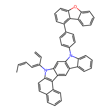 C=C/C(=C\C=C/C)n1c2cc3c(cc2c2c4ccccc4ccc21)c1ccccc1n3-c1ccc(-c2cccc3oc4ccccc4c23)cc1